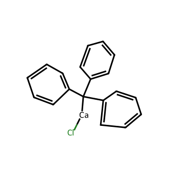 [Cl][Ca][C](c1ccccc1)(c1ccccc1)c1ccccc1